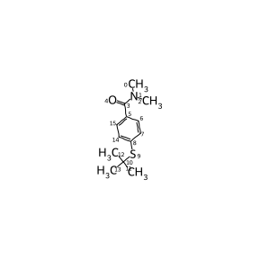 CN(C)C(=O)c1ccc(SC(C)(C)C)cc1